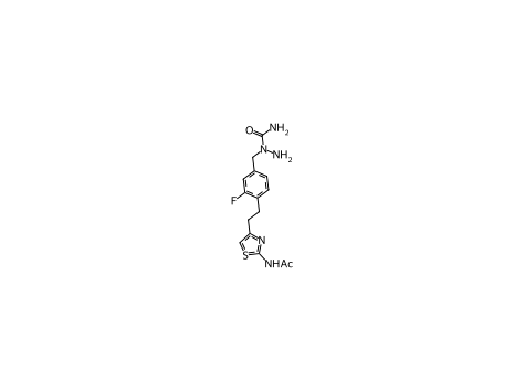 CC(=O)Nc1nc(CCc2ccc(CN(N)C(N)=O)cc2F)cs1